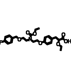 CCOC(=O)N(CCOCc1ccc(F)cc1)CCOc1ccc(CC(OCC)C(=O)O)cc1